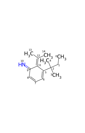 CCC(C)(C)C1=CC=CC(=N)C1=C(C)C